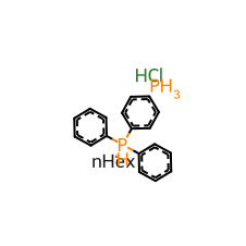 CCCCCC[PH](c1ccccc1)(c1ccccc1)c1ccccc1.Cl.P